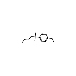 CCCCC(C)(C)c1ccc(CC)cc1